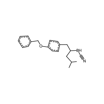 CC(C)CC(BC#N)Cc1ccc(OCc2ccccc2)cc1